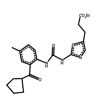 CCOC(=O)CCc1cnc(NC(=O)Nc2ccc(C)cc2C(=O)C2CCCC2)s1